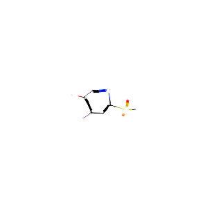 CCS(=O)(=O)c1cc(I)c(O)cn1